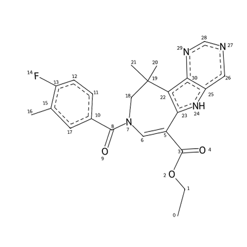 CCOC(=O)C1=CN(C(=O)c2ccc(F)c(C)c2)CC(C)(C)c2c1[nH]c1cncnc21